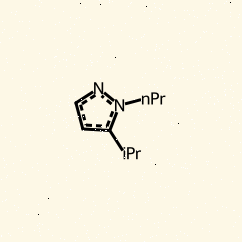 CCCn1nccc1C(C)C